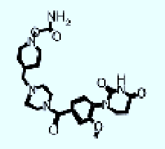 COc1cc(C(=O)N2CCN(CC3CCN(OC(N)=O)CC3)CC2)ccc1N1CCC(=O)NC1=O